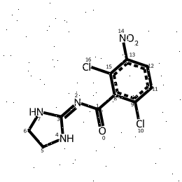 O=C(N=C1NCCN1)c1c(Cl)ccc([N+](=O)[O-])c1Cl